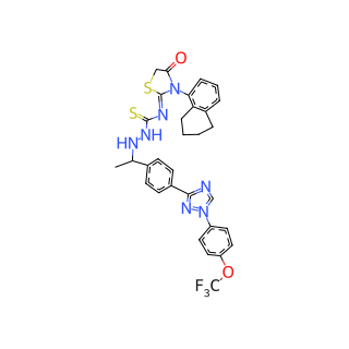 CC(NNC(=S)/N=C1\SCC(=O)N1c1cccc2c1CCCC2)c1ccc(-c2ncn(-c3ccc(OC(F)(F)F)cc3)n2)cc1